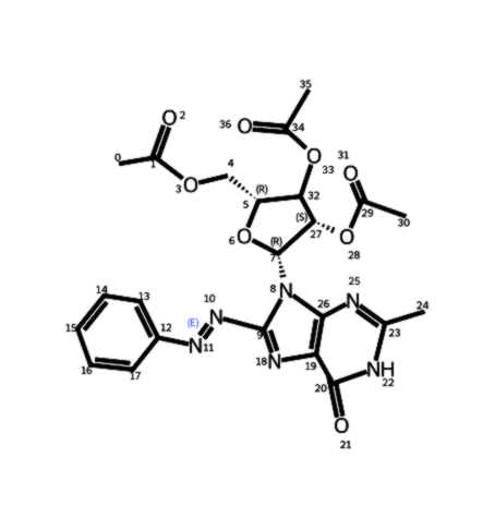 CC(=O)OC[C@H]1O[C@@H](n2c(/N=N/c3ccccc3)nc3c(=O)[nH]c(C)nc32)[C@@H](OC(C)=O)C1OC(C)=O